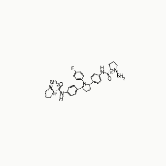 BN1CCC[C@H]1C(=O)Nc1ccc(C2CCC(c3ccc(NC(=O)[C@@H]4CCCN4B)cc3)N2c2ccc(F)cc2)cc1